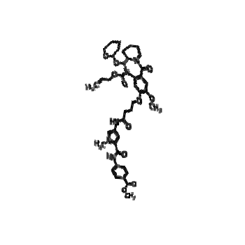 C=CCOC(=O)N1c2cc(OCCCC(=O)Nc3cc(C(=O)Nc4ccc(C(=O)OC)cc4)n(C)c3)c(OC)cc2C(=O)N2CCCCC2C1OC1CCCCO1